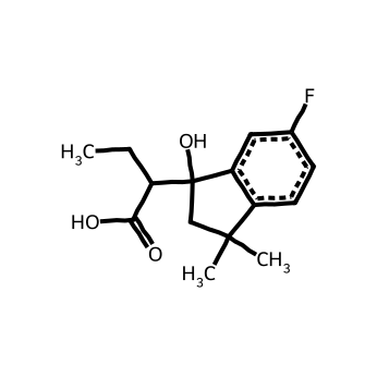 CCC(C(=O)O)C1(O)CC(C)(C)c2ccc(F)cc21